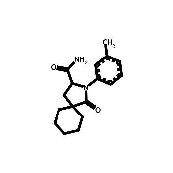 Cc1cccc(N2C(=O)C3(C[CH]CCC3)CC2C(N)=O)c1